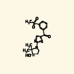 CC1(C)[C@@H](O)CCN1c1ncc(C(=O)c2cccc(S(C)(=O)=O)c2)s1